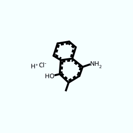 Cc1cc(N)c2ccccc2c1O.[Cl-].[H+]